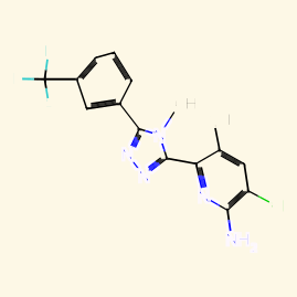 Cc1cc(Cl)c(N)nc1-c1nnc(-c2cccc(C(F)(F)F)c2)n1C